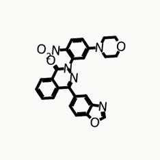 O=c1c2ccccc2c(-c2ccc3ocnc3c2)nn1-c1cc(N2CCOCC2)ccc1[N+](=O)[O-]